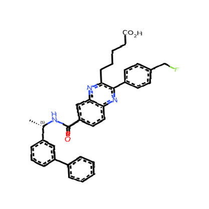 C[C@H](NC(=O)c1ccc2nc(-c3ccc(CF)cc3)c(CCCCC(=O)O)nc2c1)c1cccc(-c2ccccc2)c1